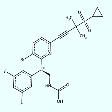 CC(C)(C#Cc1ccc(Br)c([C@@H](CNC(=O)O)c2cc(F)cc(F)c2)n1)S(=O)(=O)C1CC1